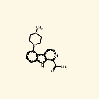 CN1CCN(c2cccc3[nH]c4c(C(N)=O)nccc4c23)CC1